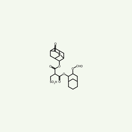 O=COC1CC2CCCC(C2)C1OC(=O)C(CS(=O)(=O)O)C(=O)OC1C2CC3CC(C2)C(=O)OC1C3